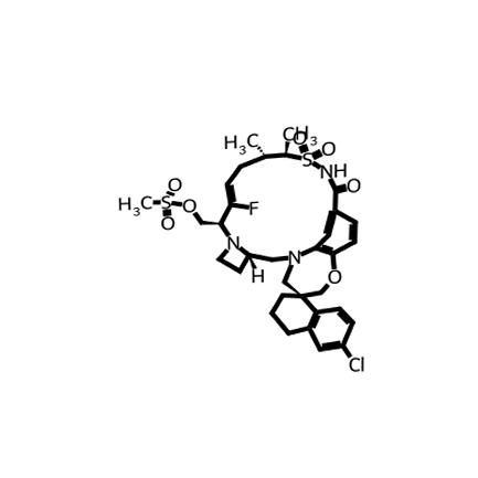 C[C@@H]1[C@@H](C)C/C=C(\F)[C@H](COS(C)(=O)=O)N2CC[C@H]2CN2C[C@@]3(CCCc4cc(Cl)ccc43)COc3ccc(cc32)C(=O)NS1(=O)=O